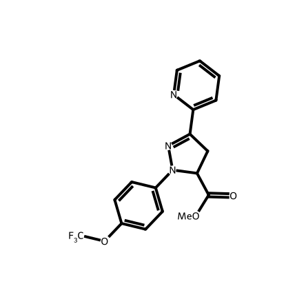 COC(=O)C1CC(c2ccccn2)=NN1c1ccc(OC(F)(F)F)cc1